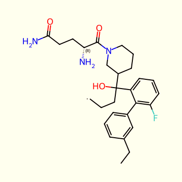 [CH2]CCC(O)(c1cccc(F)c1-c1cccc(CC)c1)C1CCCN(C(=O)[C@H](N)CCC(N)=O)C1